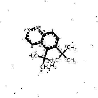 CC(C)(C)c1ccc2nnccc2c1C(C)(C)C